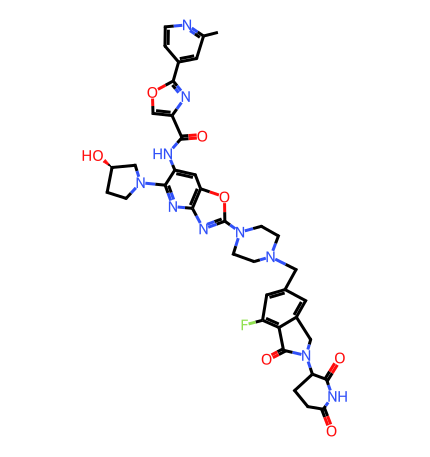 Cc1cc(-c2nc(C(=O)Nc3cc4oc(N5CCN(Cc6cc(F)c7c(c6)CN(C6CCC(=O)NC6=O)C7=O)CC5)nc4nc3N3CC[C@@H](O)C3)co2)ccn1